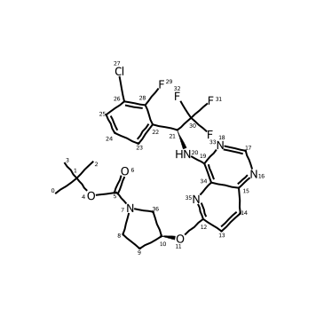 CC(C)(C)OC(=O)N1CC[C@H](Oc2ccc3ncnc(N[C@@H](c4cccc(Cl)c4F)C(F)(F)F)c3n2)C1